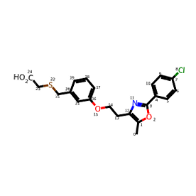 Cc1oc(-c2ccc(Cl)cc2)nc1CCOc1cccc(CSCC(=O)O)c1